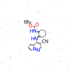 CC(C)(C)OC(=O)N[C@@H]1CCCC[C@H]1Nc1c(C#N)cnn2cccc12